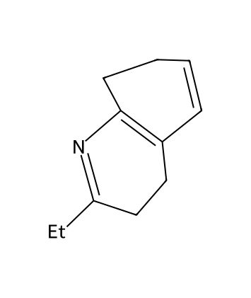 CCC1=NC2=C(C=CCC2)CC1